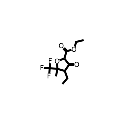 CCOC(=O)C1OC(C)(C(F)(F)F)C(CC)C1=O